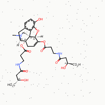 CN1CC[C@]23c4c5ccc(O)c4O[C@H]2C(OC(=O)CCNC(=O)C[C@H](O)C(=O)O)=CC[C@@]3(OC(=O)CCNC(=O)C[C@H](O)C(=O)O)[C@H]1C5